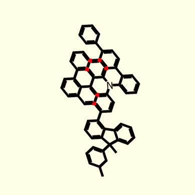 CC1C=CC=C(C2(C)c3ccccc3-c3c(-c4ccc(N(c5ccccc5-c5ccc(-c6ccccc6)cc5)c5ccccc5-c5cccc6cccc(-c7ccccc7)c56)cc4)cccc32)C1